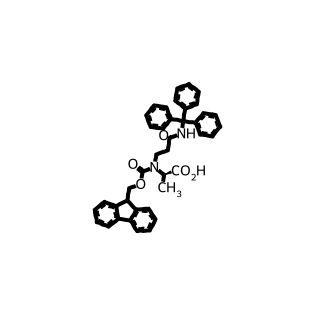 C[C@H](C(=O)O)N(CCC(=O)NC(c1ccccc1)(c1ccccc1)c1ccccc1)C(=O)OCC1c2ccccc2-c2ccccc21